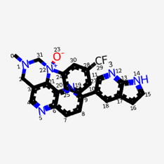 CN1Cc2cnc3ccc(-c4cnc5[nH]ccc5c4)nc3c2[N+]([O-])(c2cccc(C(F)(F)F)c2)C1